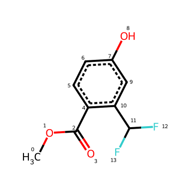 COC(=O)c1ccc(O)cc1C(F)F